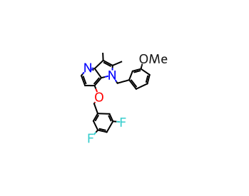 COc1cccc(Cn2c(C)c(C)c3nccc(OCc4cc(F)cc(F)c4)c32)c1